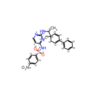 CC(Nc1nccc(NS(=O)(=O)c2ccc([N+](=O)[O-])cc2)n1)C1(C(F)(F)F)C=CC(c2ccccc2)=CC1